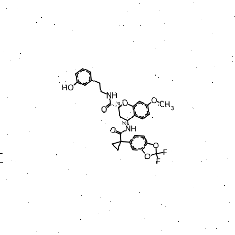 COc1ccc2c(c1)O[C@@H](C(=O)NCCc1cccc(O)c1)C[C@@H]2NC(=O)C1(c2ccc3c(c2)OC(F)(F)O3)CC1